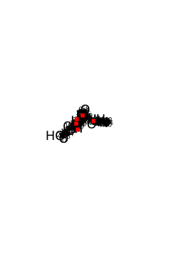 CC(C)C1=C2[C@H]3CC[C@@H]4[C@@]5(C)CC[C@H](OC(=O)[C@H]6C[C@@H](C(=O)O)C6(C)C)C(C)(C)[C@@H]5CC[C@@]4(C)[C@]3(C)CC[C@@]2(CCNC(=O)c2ccc(N3CCCCC3)cc2)CC1=O